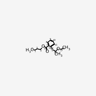 CCCCOC(=O)c1ccccc1SC(C)OCC